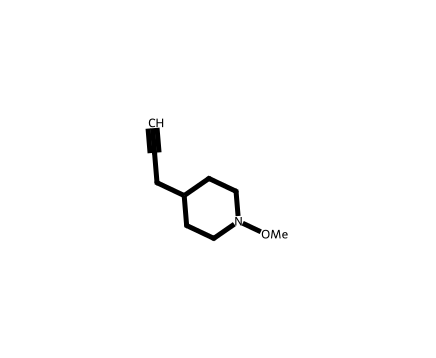 C#CCC1CCN(OC)CC1